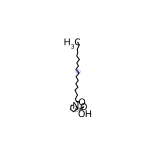 CCCCCCCC/C=C/CCCCCCCC(=O)N1CCC[C@H]1C(=O)O